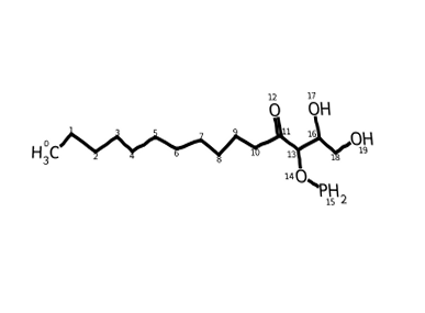 CCCCCCCCCCCC(=O)C(OP)C(O)CO